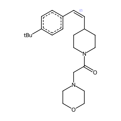 CC(C)(C)c1ccc(/C=C\C2CCN(C(=O)CN3CCOCC3)CC2)cc1